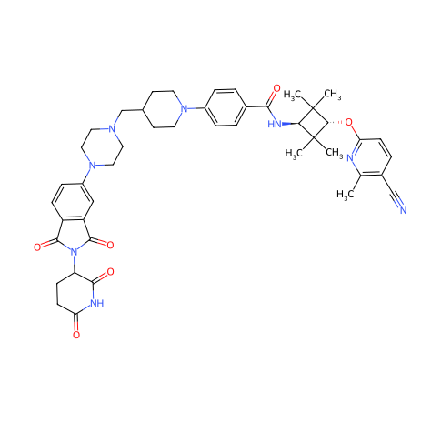 Cc1nc(O[C@H]2C(C)(C)[C@H](NC(=O)c3ccc(N4CCC(CN5CCN(c6ccc7c(c6)C(=O)N(C6CCC(=O)NC6=O)C7=O)CC5)CC4)cc3)C2(C)C)ccc1C#N